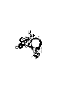 CC[C@@H]1C[C@@H](C)CCC=C[C@@H]2C[C@@]2(C(=O)NS(=O)(=O)C2(CF)CC2)NC(=O)[C@@H]2C[C@@H](Oc3nc4c(c5cc(OC)ccc35)CCCO4)CN2C(=O)[C@H]1N(C(=O)O)C(C)(C)C(C)(F)F